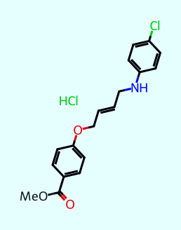 COC(=O)c1ccc(OCC=CCNc2ccc(Cl)cc2)cc1.Cl